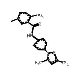 Cc1ccc([N+](=O)[O-])c(C(=O)Nc2ccc(-n3nc(C(F)(F)F)cc3C(F)(F)F)cc2)c1